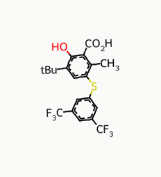 Cc1c(Sc2cc(C(F)(F)F)cc(C(F)(F)F)c2)cc(C(C)(C)C)c(O)c1C(=O)O